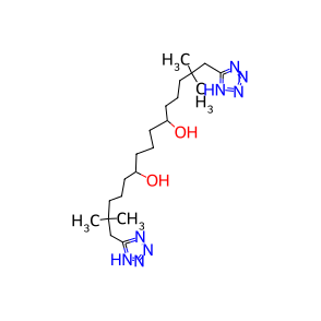 CC(C)(CCCC(O)CCCC(O)CCCC(C)(C)Cc1nnn[nH]1)Cc1nnn[nH]1